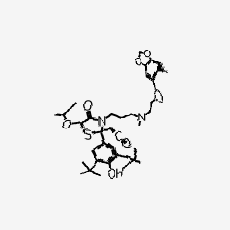 CC(C)OC1SC(C=C=O)(c2cc(C(C)(C)C)c(O)c(C(C)(C)C)c2)N(CCCN(C)CCOc2ccc3c(c2)OCO3)C1=O